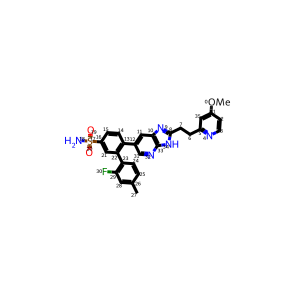 COc1ccnc(CCc2nc3cc(-c4ccc(S(N)(=O)=O)cc4-c4ccc(C)cc4F)cnc3[nH]2)c1